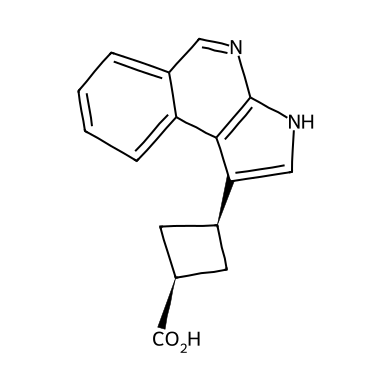 O=C(O)[C@H]1C[C@@H](c2c[nH]c3ncc4ccccc4c32)C1